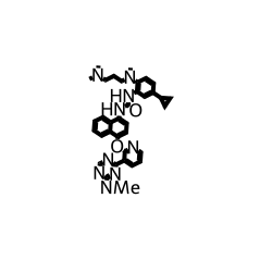 CNc1ncnc(-c2cccnc2Oc2ccc(NC(=O)Nc3cc(C4CC4)ccc3N(C)CCCN(C)C)c3ccccc23)n1